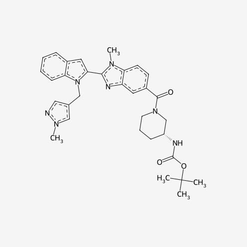 Cn1cc(Cn2c(-c3nc4cc(C(=O)N5CCC[C@@H](NC(=O)OC(C)(C)C)C5)ccc4n3C)cc3ccccc32)cn1